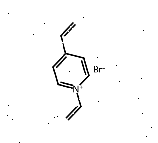 C=Cc1cc[n+](C=C)cc1.[Br-]